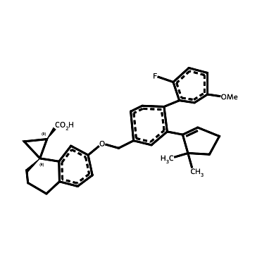 COc1ccc(F)c(-c2ccc(COc3ccc4c(c3)[C@]3(CCC4)C[C@H]3C(=O)O)cc2C2=CCCC2(C)C)c1